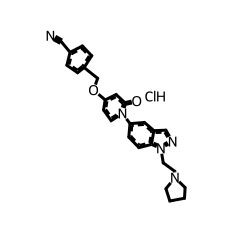 Cl.N#Cc1ccc(COc2ccn(-c3ccc4c(cnn4CCN4CCCC4)c3)c(=O)c2)cc1